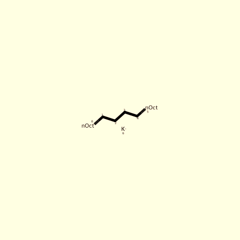 CCCCCCCCCCCCCCCCCCCC.[K]